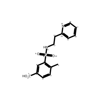 Cc1ccc(C(=O)O)cc1S(=O)(=O)NCCc1ccccn1